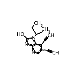 C#Cc1cnc2nc(O)n(C(CC)CC)c2c1C#C